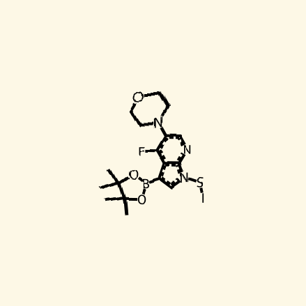 CC1(C)OB(c2cn(SI)c3ncc(N4CCOCC4)c(F)c23)OC1(C)C